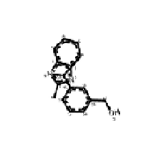 Cc1nc2c3cccc2n1C3c1cccc(CO)c1